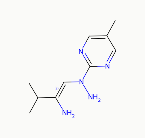 Cc1cnc(N(N)/C=C(\N)C(C)C)nc1